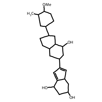 COC1CCC(C2CCC3CC(C4=CC5CC(O)CC(O)C5=C4)CC(O)C3C2)CC1C